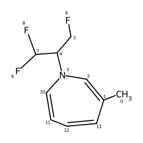 CC1=CN(C(CF)C(F)F)C=CC=C1